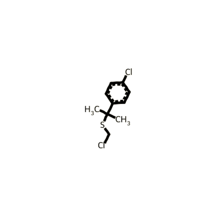 CC(C)(SCCl)c1ccc(Cl)cc1